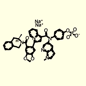 C[C@@H]1Cc2ccccc2CN1C(=O)c1cc2c(cc1-c1cc(C(=O)N(c3ccc(OP(=O)([O-])[O-])cc3)c3cnc4c(ccn4C)c3)c3ccccn13)OCO2.[Na+].[Na+]